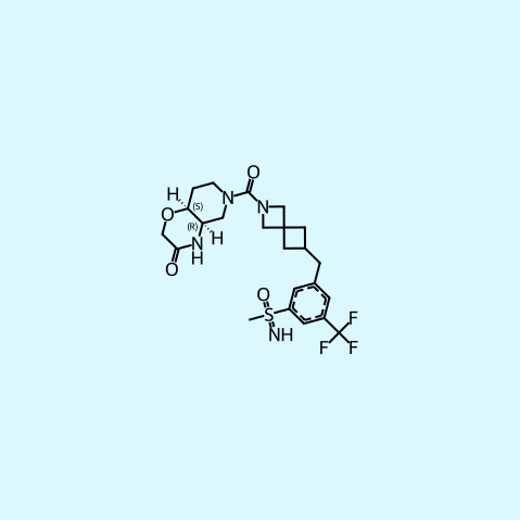 CS(=N)(=O)c1cc(CC2CC3(C2)CN(C(=O)N2CC[C@@H]4OCC(=O)N[C@@H]4C2)C3)cc(C(F)(F)F)c1